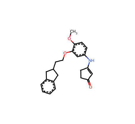 COc1ccc(NC2=CC(=O)CC2)cc1OCCC1Cc2ccccc2C1